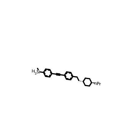 CCC[C@H]1CC[C@H](CCc2ccc(C#Cc3ccc([SiH2]C)cc3)cc2)CC1